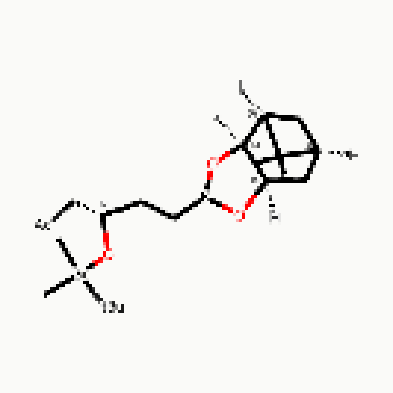 CC(=O)C[C@H](CCB1O[C@@H]2C[C@@H]3C[C@@H](C3(C)C)[C@]2(C)O1)O[Si](C)(C)C(C)(C)C